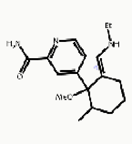 CCN/C=C1\CCCC(C)C1(OC)c1ccnc(C(N)=O)c1